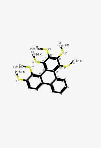 CCCCCCSc1ccc2c3ccccc3c3c(SCCCCCC)c(SCCCCCC)c(SCCCCCC)c(SCCCCCC)c3c2c1SCCCCCC